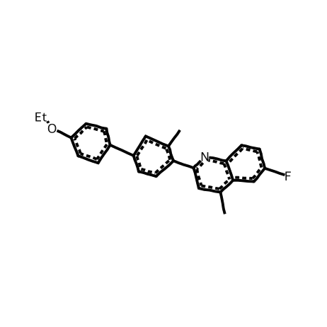 CCOc1ccc(-c2ccc(-c3cc(C)c4cc(F)ccc4n3)c(C)c2)cc1